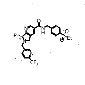 CCS(=O)(=O)c1ccc(CNC(=O)c2cnc3c(c2)CN(Cc2ccc(C(F)(F)F)nc2)[C@H]3C(C)C)cc1